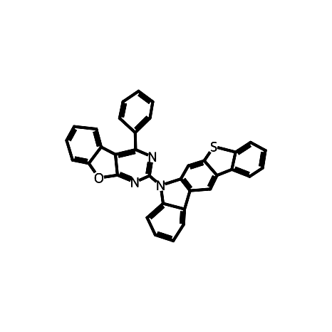 c1ccc(-c2nc(-n3c4ccccc4c4cc5c(cc43)sc3ccccc35)nc3oc4ccccc4c23)cc1